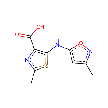 Cc1cc(Nc2sc(C)nc2C(=O)O)on1